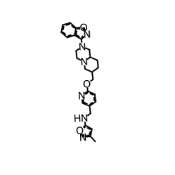 Cc1cc(NCc2ccc(OCC3CCC4CN(c5noc6ccccc56)CCN4C3)nc2)on1